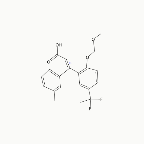 COCOc1ccc(C(F)(F)F)cc1/C(=C/C(=O)O)c1cccc(C)c1